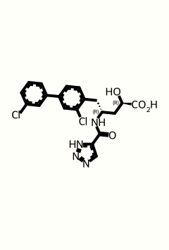 O=C(N[C@H](Cc1ccc(-c2cccc(Cl)c2)cc1Cl)C[C@@H](O)C(=O)O)c1cnn[nH]1